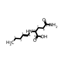 CCCC=CNC(CCC(N)=O)C(=O)O